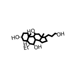 CC[C@H]1[C@@H](O)C2C3CCC(CCCO)C3(C)CC(O)C2C2(C)CC[C@@H](O)C[C@@H]12